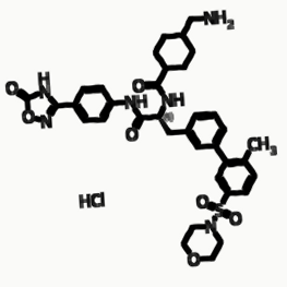 Cc1ccc(S(=O)(=O)N2CCOCC2)cc1-c1cccc(C[C@H](NC(=O)C2CCC(CN)CC2)C(=O)Nc2ccc(-c3noc(=O)[nH]3)cc2)c1.Cl